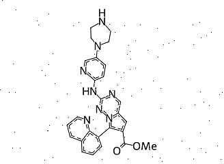 COC(=O)c1cc2cnc(Nc3ccc(N4CCNCC4)cn3)nn2c1-c1cccc2cccnc12